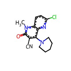 Cn1c(=O)c(C#N)c(N2CCCCC2)c2nc(Cl)ccc21